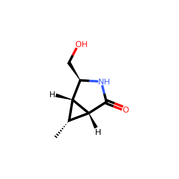 C[C@H]1[C@H]2C(=O)N[C@H](CO)[C@@H]12